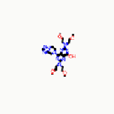 COCCN(CCOC)c1nc(N2CCn3ncnc3C2)c2nc(N(CCOC)CCOC)nc(O)c2n1